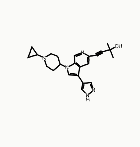 CC(C)(O)C#Cc1cc2c(-c3cn[nH]c3)cn(C3CCN(C4CC4)CC3)c2cn1